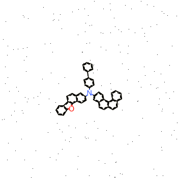 c1ccc(-c2ccc(N(c3ccc4c(ccc5c6ccccc6oc45)c3)c3ccc4c(ccc5ccc6ccccc6c54)c3)cc2)cc1